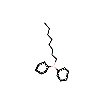 CCCCCCCCB(c1ccccc1)c1ccccc1